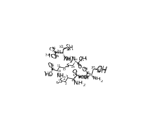 CSCC[C@H](N)C(=O)O.N[C@@H](CCSC[C@H](N)C(=O)O)C(=O)O.N[C@@H](CO)C(=O)O.N[C@@H](CS)C(=O)O